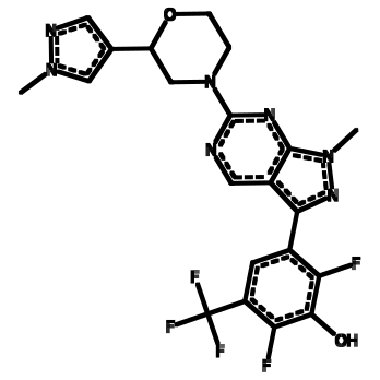 Cn1cc(C2CN(c3ncc4c(-c5cc(C(F)(F)F)c(F)c(O)c5F)nn(C)c4n3)CCO2)cn1